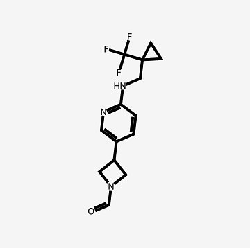 O=CN1CC(c2ccc(NCC3(C(F)(F)F)CC3)nc2)C1